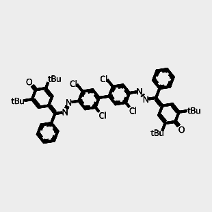 CC(C)(C)C1=CC(=C(/N=N/c2cc(Cl)c(-c3cc(Cl)c(/N=N/C(=C4C=C(C(C)(C)C)C(=O)C(C(C)(C)C)=C4)c4ccccc4)cc3Cl)cc2Cl)c2ccccc2)C=C(C(C)(C)C)C1=O